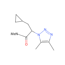 CNC(=O)C(CC1CC1)n1nnc(C)c1C